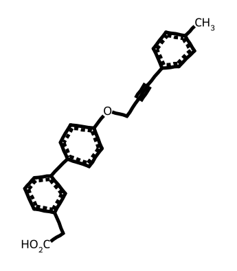 Cc1ccc(C#CCOc2ccc(-c3cccc(CC(=O)O)c3)cc2)cc1